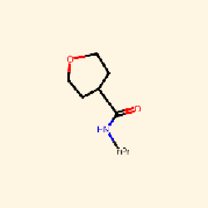 CCCNC(=O)C1CCOCC1